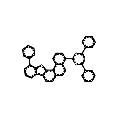 c1ccc(-c2nc(-c3ccccc3)nc(-c3cccc4c3ccc3ccc5c6cccc(-c7ccccc7)c6sc5c34)n2)cc1